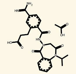 CC(=O)O.CC(C)N1C(=O)CN(NC(=O)c2ccc(C(=N)N)cc2CCC(=O)O)C(=O)c2ccccc21